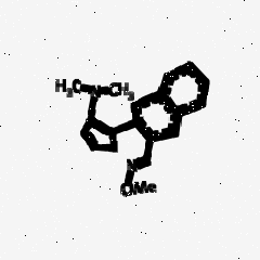 CON=Cc1cc2ccccc2cc1C1=C(N(C)C)C=CC1